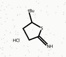 CC(C)(C)C1CCC(=N)S1.Cl